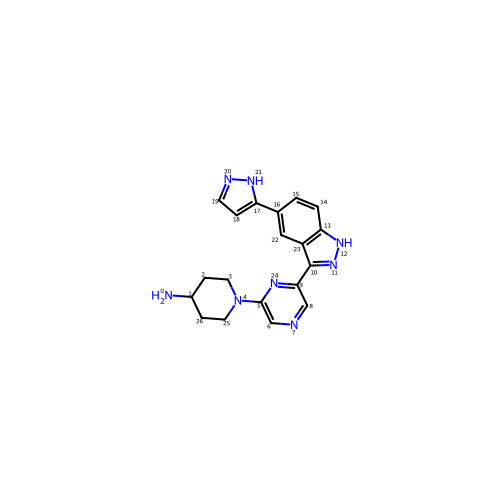 NC1CCN(c2cncc(-c3n[nH]c4ccc(-c5ccn[nH]5)cc34)n2)CC1